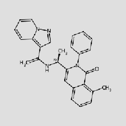 C=C(N[C@@H](C)c1cc2cccc(C)c2c(=O)n1-c1ccccc1)c1cnn2ccccc12